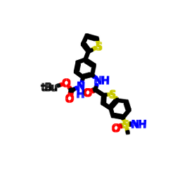 CC(C)(C)OC(=O)Nc1ccc(-c2cccs2)cc1NC(=O)c1cc2cc(S(C)(=N)=O)ccc2s1